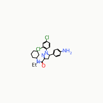 CCN(C(=O)C1=NN(c2ccc(Cl)cc2Cl)C(c2ccc(N)cc2)C1)C1CCCCC1